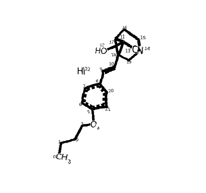 CCCCOc1ccc(/C=C/C2(O)CN3CCC2CC3)cc1.I